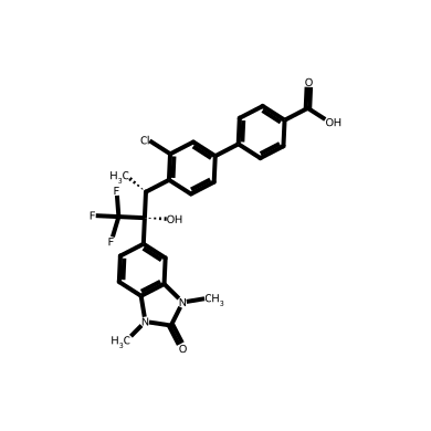 C[C@H](c1ccc(-c2ccc(C(=O)O)cc2)cc1Cl)[C@@](O)(c1ccc2c(c1)n(C)c(=O)n2C)C(F)(F)F